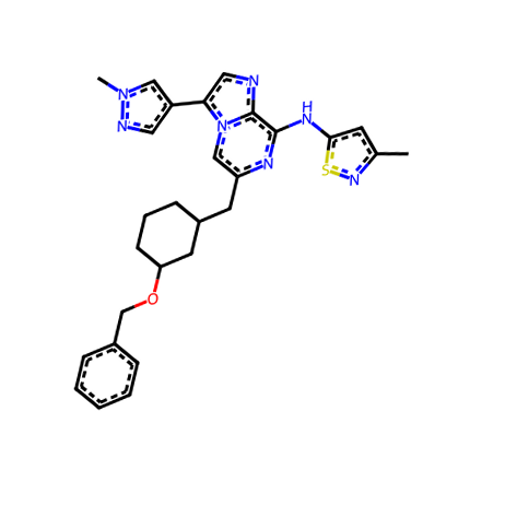 Cc1cc(Nc2nc(CC3CCCC(OCc4ccccc4)C3)cn3c(-c4cnn(C)c4)cnc23)sn1